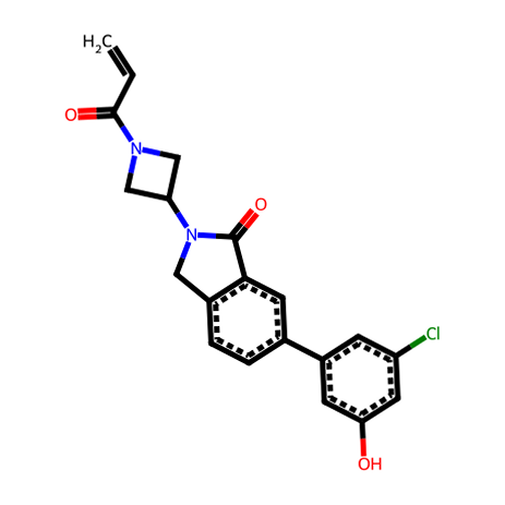 C=CC(=O)N1CC(N2Cc3ccc(-c4cc(O)cc(Cl)c4)cc3C2=O)C1